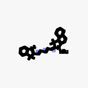 CCCCN1/C(=C/C=C/C=C/C2=[N+](C)c3ccccc3C2(C)C)C(C)(C)c2c1ccc1ccccc21